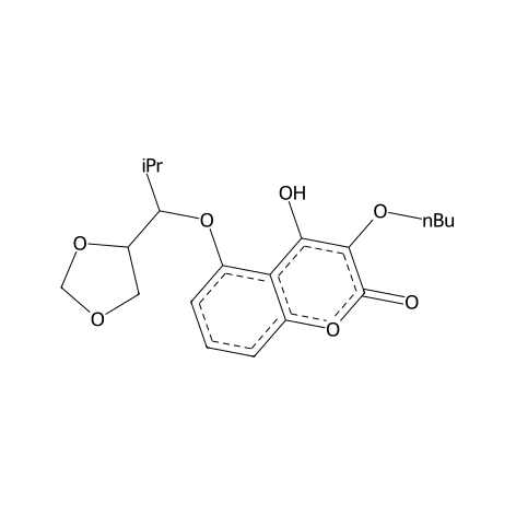 CCCCOc1c(O)c2c(OC(C(C)C)C3COCO3)cccc2oc1=O